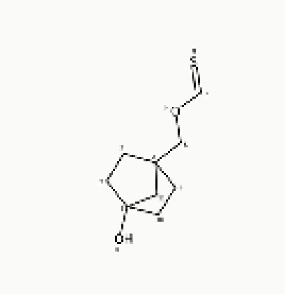 OC12CCC(COC=S)(CC1)C2